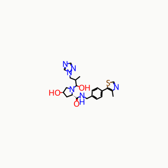 Cc1ncsc1-c1ccc(CNC(=O)[C@@H]2C[C@@H](O)CN2C(O)C(C)Cn2cncn2)cc1